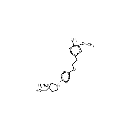 COc1cc(CCOc2ccc([C@@H]3CC[C@](N)(CO)C3)cc2)ccc1C